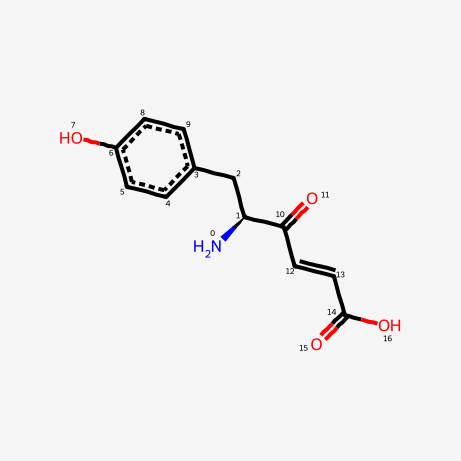 N[C@@H](Cc1ccc(O)cc1)C(=O)C=CC(=O)O